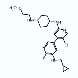 COCCN[C@H]1CC[C@H](Nc2cc(-c3cnc(F)c(NCC4CC4)c3)c(Cl)cn2)CC1